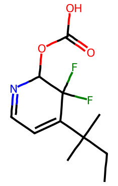 CCC(C)(C)C1=CC=NC(OC(=O)O)C1(F)F